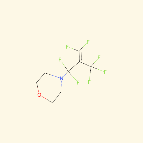 FC(F)=C(C(F)(F)F)C(F)(F)N1CCOCC1